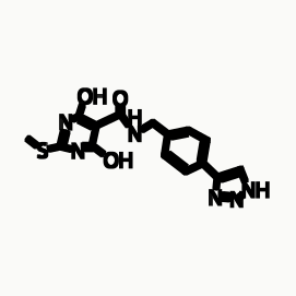 CSc1nc(O)c(C(=O)NCc2ccc(-c3c[nH]nn3)cc2)c(O)n1